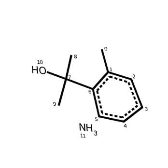 Cc1ccccc1C(C)(C)O.N